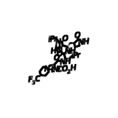 CC(C)C[C@H](NC(=O)[C@H](CN1CCC(C(F)(F)F)CC1)NC(=O)O)C(=O)N[C@@H](C[C@@H]1CCNC1=O)C(O)C(=O)NC(C)C